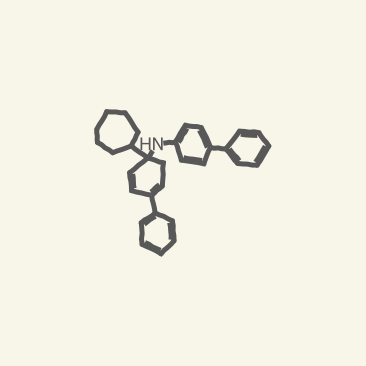 C1=CC(Nc2ccc(-c3ccccc3)cc2)(C2CCCCCC2)CC=C1c1ccccc1